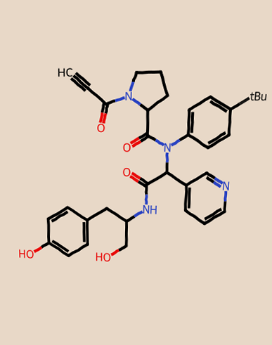 C#CC(=O)N1CCCC1C(=O)N(c1ccc(C(C)(C)C)cc1)C(C(=O)NC(CO)Cc1ccc(O)cc1)c1cccnc1